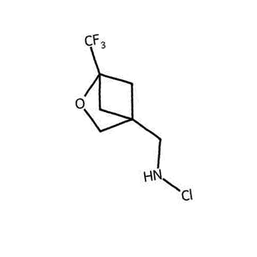 FC(F)(F)C12CC(CNCl)(CO1)C2